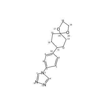 c1cc(-n2cnnc2)ccc1C1CCC2(CC1)OCCO2